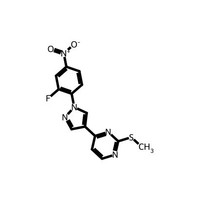 CSc1nccc(-c2cnn(-c3ccc([N+](=O)[O-])cc3F)c2)n1